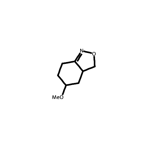 COC1CCC2=NOCC2C1